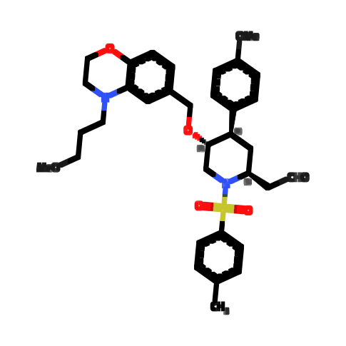 COCCCN1CCOc2ccc(CO[C@H]3CN(S(=O)(=O)c4ccc(C)cc4)[C@H](CC=O)C[C@@H]3c3ccc(OC)cc3)cc21